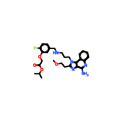 COCCc1nc2c(N)nc3ccccc3c2n1CCCNCc1ccc(F)c(OCC(=O)OC(C)C)c1